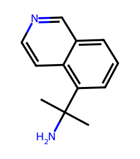 CC(C)(N)c1cccc2cnccc12